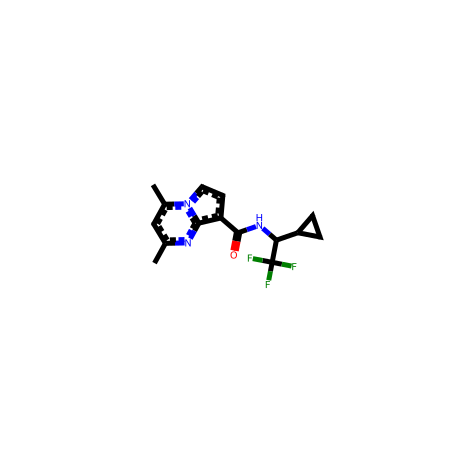 Cc1cc(C)n2ccc(C(=O)NC(C3CC3)C(F)(F)F)c2n1